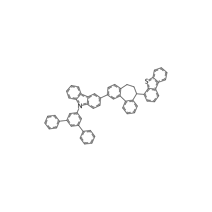 c1ccc(-c2cc(-c3ccccc3)cc(-n3c4ccccc4c4cc(-c5ccc6c(c5)-c5ccccc5C(c5cccc7c5sc5ccccc57)CC6)ccc43)c2)cc1